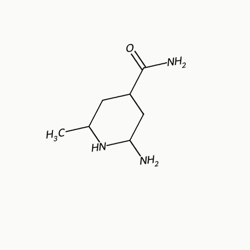 CC1CC(C(N)=O)CC(N)N1